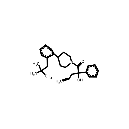 C=CCC(O)(C(=O)N1CCC(c2ccccc2CC(C)(C)N)CC1)c1ccccc1